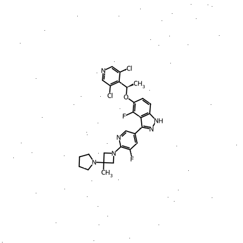 C[C@@H](Oc1ccc2[nH]nc(-c3cnc(N4CC(C)(N5CCCC5)C4)c(F)c3)c2c1F)c1c(Cl)cncc1Cl